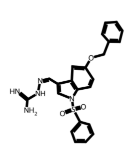 N=C(N)N/N=C\c1cn(S(=O)(=O)c2ccccc2)c2ccc(OCc3ccccc3)cc12